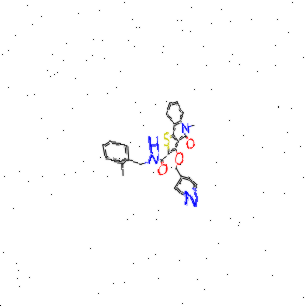 Cc1ccccc1CNC(=O)c1sc2c(c1OCc1ccncc1)c(=O)n(C)c1ccccc21